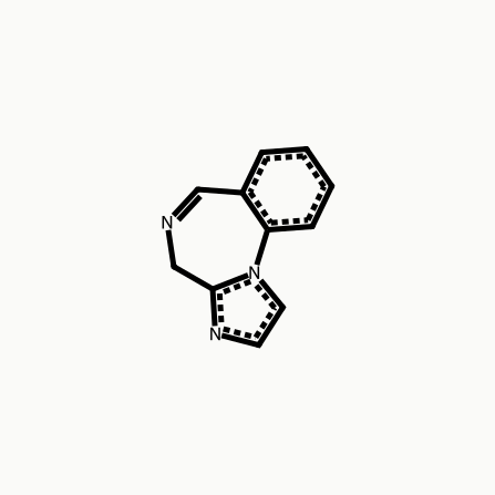 C1=NCc2nccn2-c2ccccc21